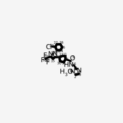 Cn1ccnc1CNC(=O)c1ccc(-c2cc(C(F)(F)F)nn2-c2ccccc2Cl)cc1